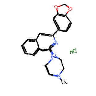 CCN1CCN(c2nc(-c3ccc4c(c3)OCO4)cc3ccccc23)CC1.Cl